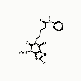 CCCCCn1c(=O)n(CCCCC(=O)N(C)c2ccccc2)c(=O)c2[nH]c(Cl)nc21